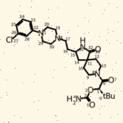 CC(C)(C)[C@@H](OC(N)=O)C(=O)N1CCC2(CC1)CC(CCN1CCN(c3cccc(Cl)c3)CC1)NC2=O